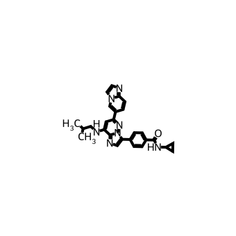 CC(C)CNc1cc(-c2ccc3nccn3c2)nn2c(-c3ccc(C(=O)NC4CC4)cc3)cnc12